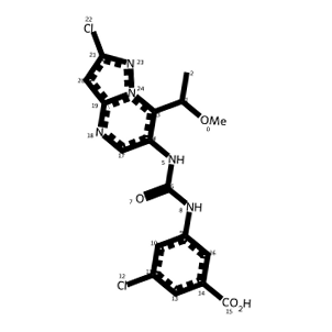 COC(C)c1c(NC(=O)Nc2cc(Cl)cc(C(=O)O)c2)cnc2cc(Cl)nn12